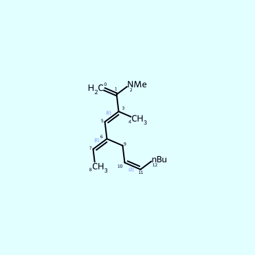 C=C(NC)/C(C)=C/C(=C/C)C/C=C\CCCC